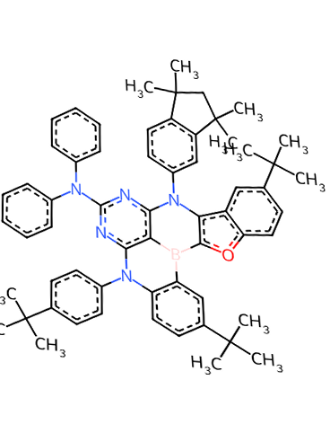 CC(C)(C)c1ccc(N2c3ccc(C(C)(C)C)cc3B3c4oc5ccc(C(C)(C)C)cc5c4N(c4ccc5c(c4)C(C)(C)CC5(C)C)c4nc(N(c5ccccc5)c5ccccc5)nc2c43)cc1